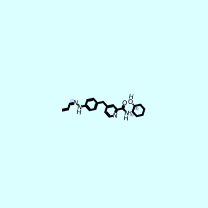 C=C/C=N\Nc1ccc(Cc2ccnc(C(=O)N[C@H]3CCCC[C@@H]3O)c2)cc1